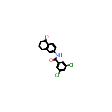 O=C(Nc1ccc2c(c1)CCCC2=O)c1cc(Cl)cc(Cl)c1